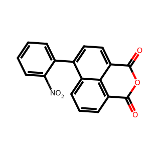 O=C1OC(=O)c2ccc(-c3ccccc3[N+](=O)[O-])c3cccc1c23